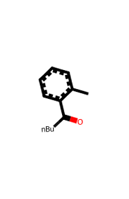 CCCCC(=O)c1ccccc1C